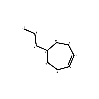 [CH2]CCC1CCC=CCC1